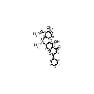 COc1cc2oc(-c3ccccc3)cc(=O)c2c(O)c1-c1coc(C)c(OC)c1=O